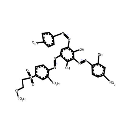 O=[N+]([O-])c1ccc(/N=N\c2cc(/N=N/c3ccc(S(=O)(=O)CCOS(=O)(=O)O)cc3S(=O)(=O)O)c(O)c(/N=N/c3ccc([N+](=O)[O-])cc3O)c2O)cc1